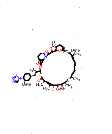 COC1C(=O)C(C)C[C@H](C)/C=C/C=C/C=C(\C)[C@@H](OC)C[C@@H]2CC[C@@H](C)C(O)(O2)C(=O)C(=O)N2CCCC[C@H]2C(=O)O[C@H]([C@H](C)C[C@@H]2CC[C@H](n3cnnn3)[C@H](OC)C2)CC(=O)[C@H](C)/C=C(\C)[C@H]1O